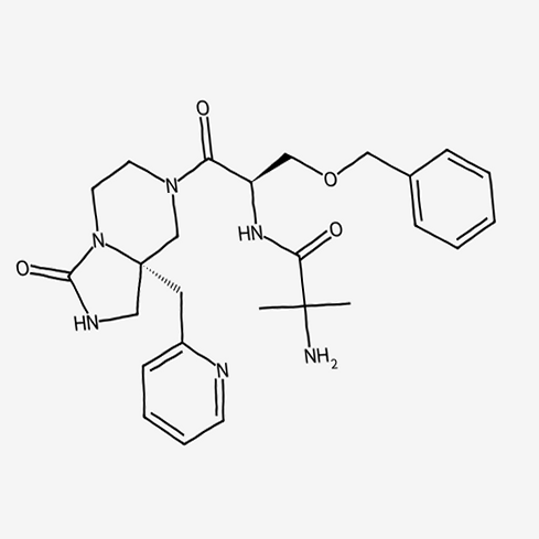 CC(C)(N)C(=O)N[C@H](COCc1ccccc1)C(=O)N1CCN2C(=O)NC[C@]2(Cc2ccccn2)C1